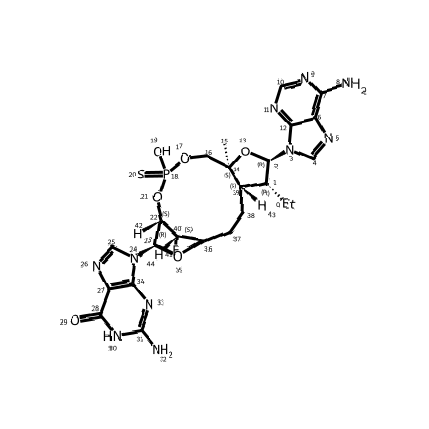 CC[C@H]1[C@H](n2cnc3c(N)ncnc32)O[C@]2(C)COP(O)(=S)O[C@H]3[C@H](n4cnc5c(=O)[nH]c(N)nc54)OC(CC[C@@H]12)[C@@H]3F